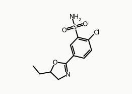 CCC1CN=C(c2ccc(Cl)c(S(N)(=O)=O)c2)O1